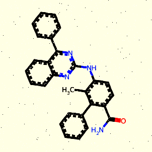 Cc1c(Nc2nc(-c3ccccc3)c3ccccc3n2)ccc(C(N)=O)c1-c1ccccc1